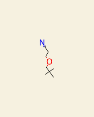 CC(C)(C)COCCC#N